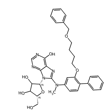 CN(c1ccc(-c2ccccc2)c(OCCCCOCc2ccccc2)c1)c1nc2c(O)ncnc2n1[C@@H]1O[C@H](CO)C(O)C1O